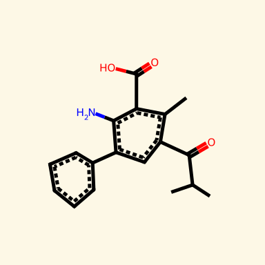 Cc1c(C(=O)C(C)C)cc(-c2ccccc2)c(N)c1C(=O)O